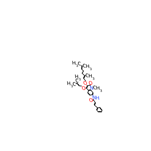 CC(C)=CCC/C(C)=C/COc1c(OCC=C(C)C)c2ccc(NC(=O)C=Cc3ccccc3)cc2n(C)c1=O